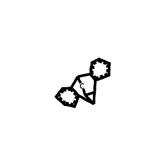 c1ccc2c(c1)C1CC3C2C3c2ccccc21